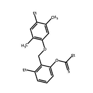 CCC(=S)Oc1cccc(CC)c1COc1cc(C)c(CC)cc1C